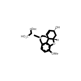 CCCCCCCCCCCC(=O)O.COc1ccc2c3c1O[C@H]1C[C@@H](O)C=C[C@@]31CCN(C)C2